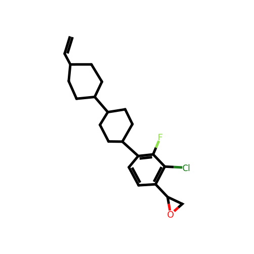 C=CC1CCC(C2CCC(c3ccc(C4CO4)c(Cl)c3F)CC2)CC1